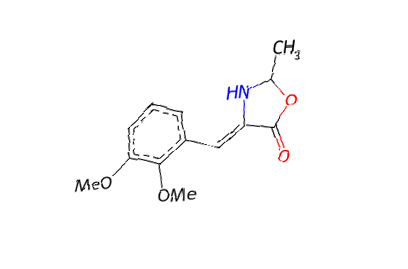 COc1cccc(/C=C2\NC(C)OC2=O)c1OC